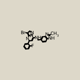 Cc1nc2cc(CNc3cc(-c4ccccc4F)nc4c(Br)cnn34)ccc2[nH]1